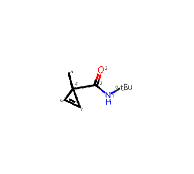 CC(C)(C)NC(=O)C1(C)C=C1